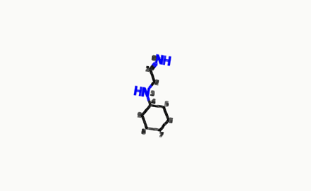 N=CCNC1CCCCC1